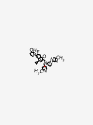 Cc1cnc(N2CCC[C@H](N(Cc3ccnc(C)c3)Cc3cn(C4CC4)c4cc(N5CCC[C@H](O)C5)c(F)cc4c3=O)C2)cn1